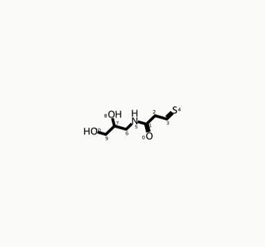 O=C(CC=S)NCC(O)CO